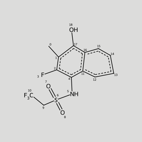 Cc1c(F)c(NS(=O)(=O)CC(F)(F)F)c2ccccc2c1O